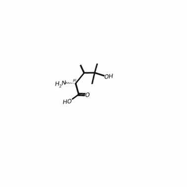 CC([C@@H](N)C(=O)O)C(C)(C)O